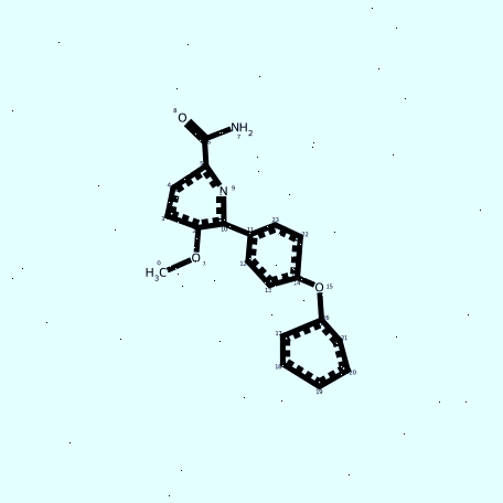 COc1ccc(C(N)=O)nc1-c1ccc(Oc2ccccc2)cc1